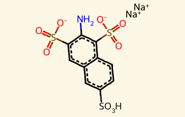 Nc1c(S(=O)(=O)[O-])cc2cc(S(=O)(=O)O)ccc2c1S(=O)(=O)[O-].[Na+].[Na+]